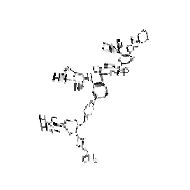 CCC12CC(C3=C(CN4CCN(c5ccc(C(=O)NS(=O)(=O)c6ccc(OCC7(F)CCCCC7)c([N+](=O)[O-])c6)c(Oc6cnc7[nH]ccc7c6)c5)CC4)CCC(C)(C)C3)(C1)C2